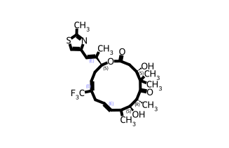 C/C(=C\c1csc(C)n1)[C@@H]1C/C=C(/C(F)(F)F)C/C=C/C(C)[C@H](O)[C@@H](C)C(=O)C(C)(C)[C@@H](O)CC(=O)O1